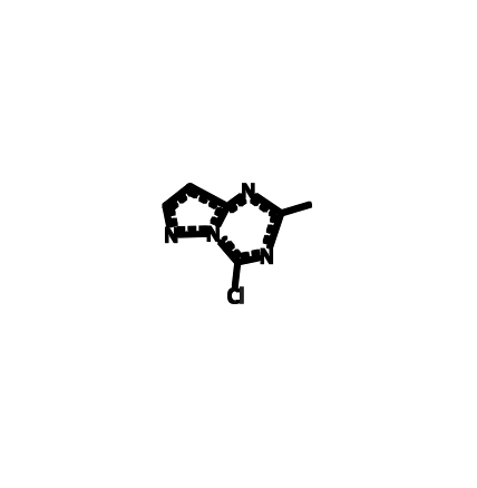 Cc1nc(Cl)n2nccc2n1